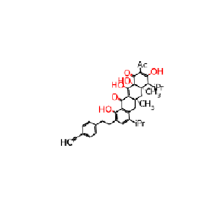 C#Cc1ccc(CCc2cc(C(C)C)c3c(c2O)C(=O)C2=C(O)[C@@]4(O)C(=O)C(C(C)=O)=C(O)C(C(C)C)[C@@]4(C)C[C@@]2(C)C3)cc1